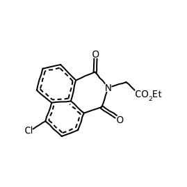 CCOC(=O)CN1C(=O)c2cccc3c(Cl)ccc(c23)C1=O